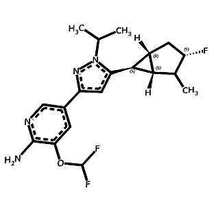 CC1[C@H]2[C@@H](C[C@@H]1F)[C@@H]2c1cc(-c2cnc(N)c(OC(F)F)c2)nn1C(C)C